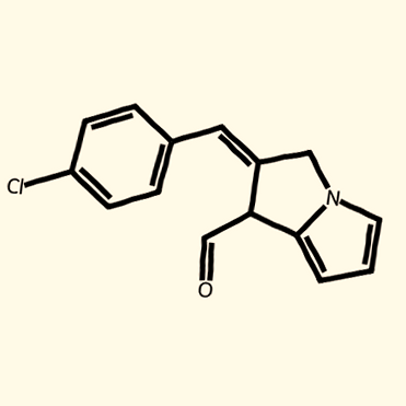 O=CC1/C(=C\c2ccc(Cl)cc2)Cn2cccc21